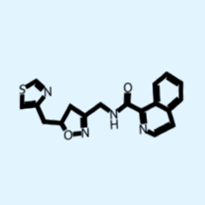 O=C(NCC1=NOC(Cc2cscn2)C1)c1nccc2ccccc12